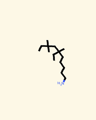 CCC(C)(C)CC(C)(CC)CCCCCN